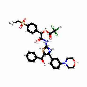 CCS(=O)(=O)c1ccc(C(OC(=O)C(F)(F)F)C(=O)Nc2nc(-c3cccc(N4CCOCC4)c3)c(C(=O)c3ccccc3)s2)cc1